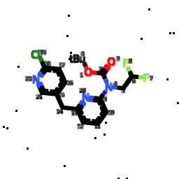 CC(C)(C)OC(=O)N(CC(F)F)c1cccc(Cc2ccc(Cl)nc2)n1